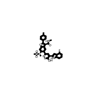 CNC(=O)c1c(-c2ccc(C)cc2)oc2cc(N(C)S(C)(=O)=O)c(-c3cc(-c4cc5c(F)cccc5[nH]4)c(O)nn3)cc12